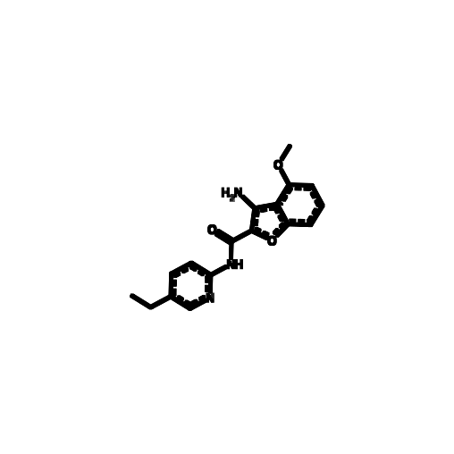 CCc1ccc(NC(=O)c2oc3cccc(OC)c3c2N)nc1